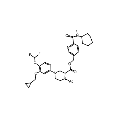 CC(=O)N1CCN(c2ccc(OC(F)F)c(OCC3CC3)c2)CC1C(=O)OCc1ccc(C(=O)N(C)C2CCCCC2)nc1